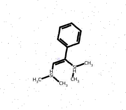 C[SiH](C)/C=C(/c1ccccc1)[SiH](C)C